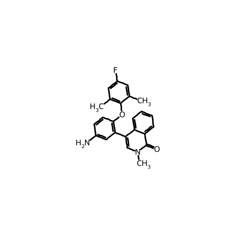 Cc1cc(F)cc(C)c1Oc1ccc(N)cc1-c1cn(C)c(=O)c2ccccc12